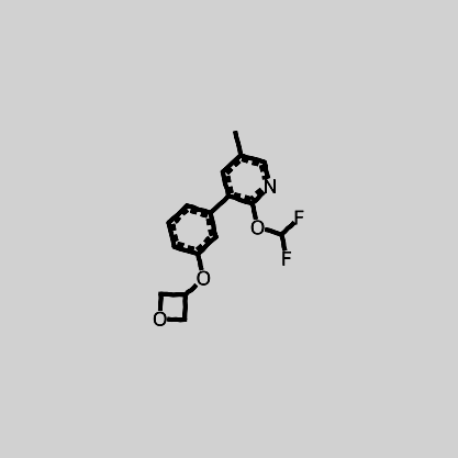 Cc1cnc(OC(F)F)c(-c2cccc(OC3COC3)c2)c1